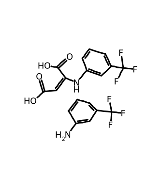 Nc1cccc(C(F)(F)F)c1.O=C(O)/C=C(/Nc1cccc(C(F)(F)F)c1)C(=O)O